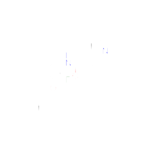 C=CCCOc1cccc(NC(=O)c2ccc3nc(C)ccc3c2)c1F